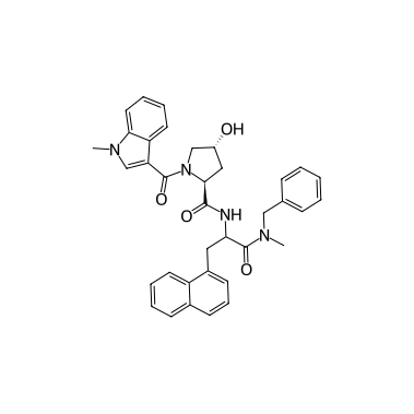 CN(Cc1ccccc1)C(=O)C(Cc1cccc2ccccc12)NC(=O)[C@@H]1C[C@@H](O)CN1C(=O)c1cn(C)c2ccccc12